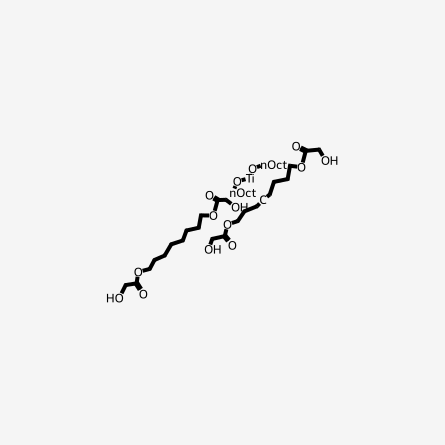 CCCCCCCC[O][Ti][O]CCCCCCCC.O=C(CO)OCCCCCCCCOC(=O)CO.O=C(CO)OCCCCCCCCOC(=O)CO